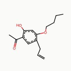 C=CCc1cc(C(C)=O)c(O)cc1OCCCC